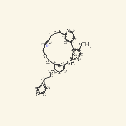 Cc1cnc2nc1-c1ccnc(c1)CCC/C=C/COCC1=CC(=CCC1OCCn1ccnc1)N2